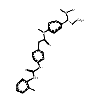 CC(=O)N(C)[C@H](CC(=O)O)c1ccc(N(C)C(=O)Cc2ccc(NC(=O)Nc3ccccc3C)cc2)cc1